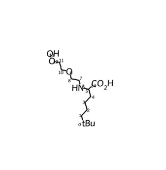 CC(C)(C)CCCCC(NCCOCCOO)C(=O)O